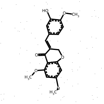 COc1cc(OC)c2c(c1)OC/C(=C\c1ccc(OC)c(O)c1)C2=O